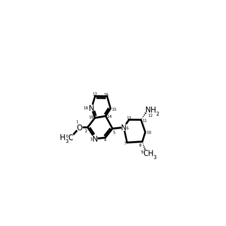 COc1ncc(N2C[C@@H](C)C[C@@H](N)C2)c2cccnc12